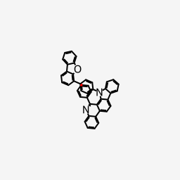 c1ccc(-c2nc3ccccc3c3ccc4c5ccccc5n(-c5ccc(-c6cccc7c6oc6ccccc67)cc5)c4c23)cc1